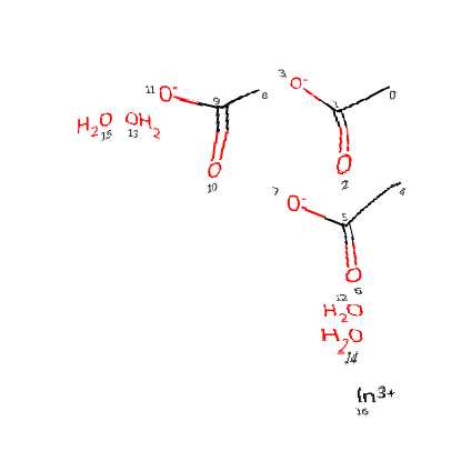 CC(=O)[O-].CC(=O)[O-].CC(=O)[O-].O.O.O.O.[In+3]